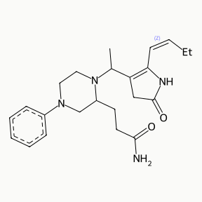 CC/C=C\C1=C(C(C)N2CCN(c3ccccc3)CC2CCC(N)=O)CC(=O)N1